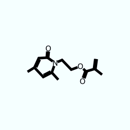 C=C(C)C(=O)OCCn1c(C)cc(C)cc1=O